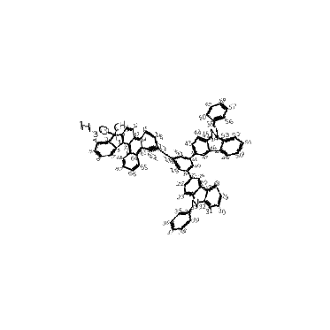 CC1(C)c2ccccc2-c2c1ccc1c3ccc(-c4cc(-c5ccc6c(c5)c5ccccc5n6-c5ccccc5)cc(-c5ccc6c(c5)c5ccccc5n6-c5ccccc5)c4)cc3c3ccccc3c21